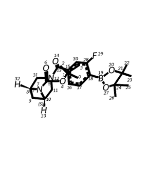 CC(C)(C)OC(=O)N1[C@@H]2C[C@H]1CN(C(=O)c1ccc(B3OC(C)(C)C(C)(C)O3)c(F)c1)C2